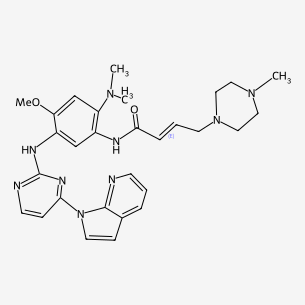 COc1cc(N(C)C)c(NC(=O)/C=C/CN2CCN(C)CC2)cc1Nc1nccc(-n2ccc3cccnc32)n1